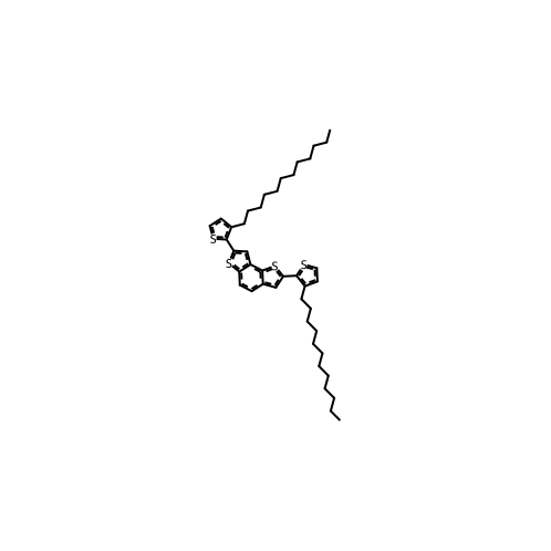 CCCCCCCCCCCCc1ccsc1-c1cc2c(ccc3cc(-c4sccc4CCCCCCCCCCCC)sc32)s1